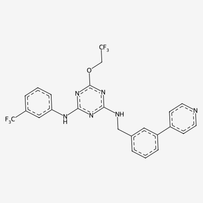 FC(F)(F)COc1nc(NCc2cccc(-c3ccncc3)c2)nc(Nc2cccc(C(F)(F)F)c2)n1